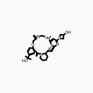 C=C1COc2ccc(C(C)(C)O)cc2C(=C)N2CCCCC2c2cc3nc(N4CC(O)C4)cc(n3n2)N(C)CCN1